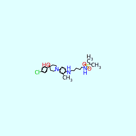 Cc1cc(N2CCC(O)(c3ccc(Cl)cc3)CC2)ccc1NCCCCCNS(=O)(=O)C(C)C